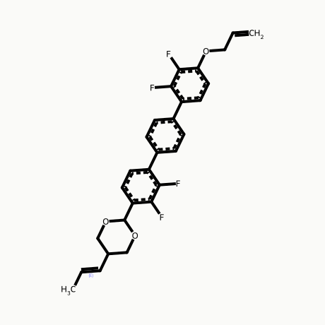 C=CCOc1ccc(-c2ccc(-c3ccc(C4OCC(/C=C/C)CO4)c(F)c3F)cc2)c(F)c1F